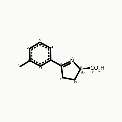 Cc1cccc(C2=N[C@@H](C(=O)O)CC2)c1